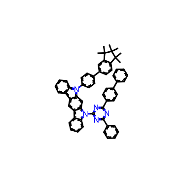 CC1(C)c2ccc(-c3ccc(-n4c5ccccc5c5cc6c7ccccc7n(-c7nc(-c8ccccc8)nc(-c8ccc(-c9ccccc9)cc8)n7)c6cc54)cc3)cc2C(C)(C)C1(C)C